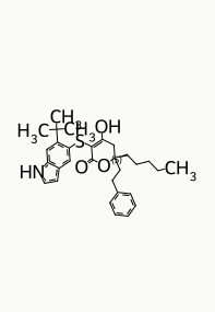 CCCCC[C@]1(CCc2ccccc2)CC(O)=C(Sc2cc3cc[nH]c3cc2C(C)(C)C)C(=O)O1